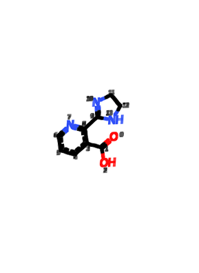 O=C(O)c1cccnc1C1=NCCN1